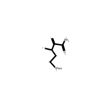 C=C(C(N)=O)C(I)CCCCCCC